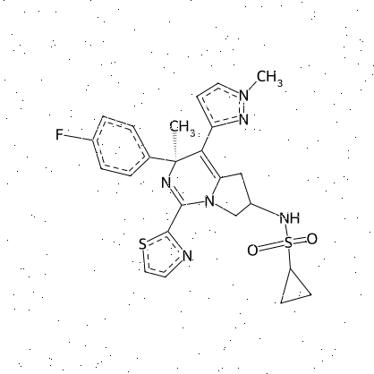 Cn1ccc(C2=C3CC(NS(=O)(=O)C4CC4)CN3C(c3nccs3)=N[C@@]2(C)c2ccc(F)cc2)n1